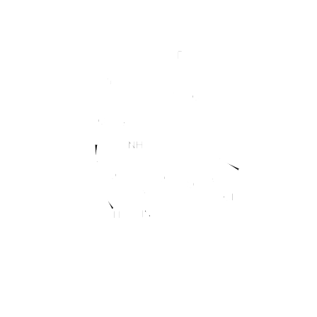 COc1cc(F)c(O[C@H]2CC[C@@](C)(C(=O)O)CC2)cc1C(=O)N[C@@H]1C(C(=O)NCC2(C)CCC2)[C@@H]2CC[C@H]1O2